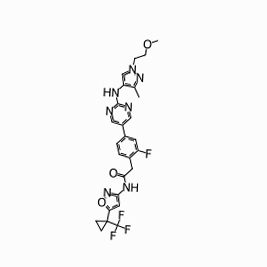 COCCn1cc(Nc2ncc(-c3ccc(CC(=O)Nc4cc(C5(C(F)(F)F)CC5)on4)c(F)c3)cn2)c(C)n1